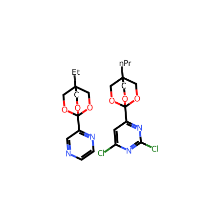 CCC12COC(c3cnccn3)(OC1)OC2.CCCC12COC(c3cc(Cl)nc(Cl)n3)(OC1)OC2